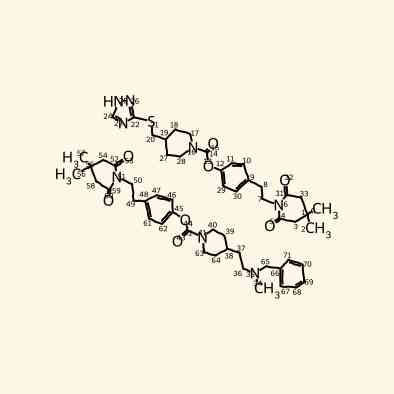 CC1(C)CC(=O)N(CCc2ccc(OC(=O)N3CCC(CSc4nc[nH]n4)CC3)cc2)C(=O)C1.CN(CCC1CCN(C(=O)Oc2ccc(CCN3C(=O)CC(C)(C)CC3=O)cc2)CC1)Cc1ccccc1